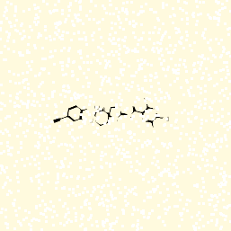 C#Cc1ccc(OC)c(SN2CCC3(CC2)CN/C(=N\C(=O)c2nc(Cl)c(N)nc2N)N3)c1